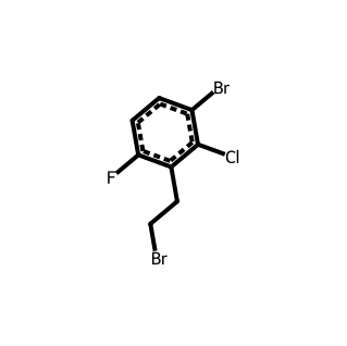 Fc1ccc(Br)c(Cl)c1CCBr